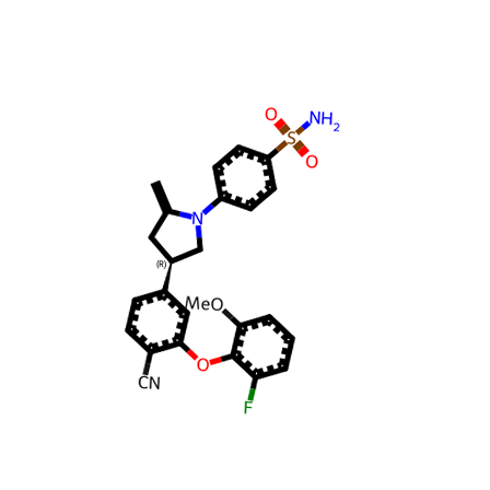 C=C1C[C@H](c2ccc(C#N)c(Oc3c(F)cccc3OC)c2)CN1c1ccc(S(N)(=O)=O)cc1